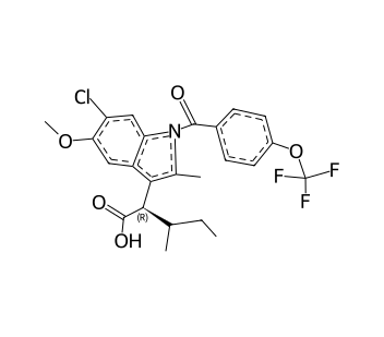 CCC(C)[C@@H](C(=O)O)c1c(C)n(C(=O)c2ccc(OC(F)(F)F)cc2)c2cc(Cl)c(OC)cc12